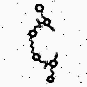 N#Cc1ccc(SCc2ccccc2)c(C(=O)NCc2ccc(OCCCOc3ccc(CNC(=O)c4cc(C#N)ccc4SCc4ccccc4)cc3)cc2)c1